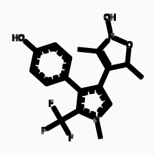 CC1=C(c2cn(C)c(C(F)(F)F)c2-c2ccc(O)cc2)C(C)ON1O